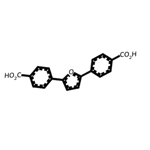 O=C(O)c1ccc(-c2ccc(-c3ccc(C(=O)O)cc3)o2)cc1